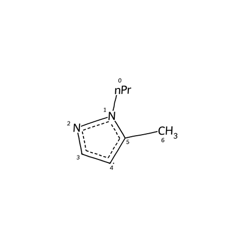 CCCn1nc[c]c1C